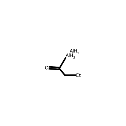 CCC[C](=O)[AlH2].[AlH3]